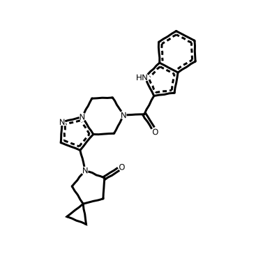 O=C(c1cc2ccccc2[nH]1)N1CCn2ncc(N3CC4(CC4)CC3=O)c2C1